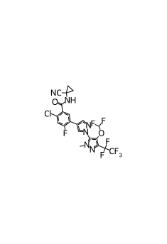 Cn1nc(C(F)(F)C(F)(F)F)c(OC(F)F)c1-n1cc(-c2cc(C(=O)NC3(C#N)CC3)c(Cl)cc2F)cn1